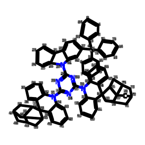 c1ccc([Si](c2ccccc2)(c2ccccc2)c2ccc3c4ccccc4n(-c4nc(N5c6ccccc6C6(c7ccccc75)C5CC7CC(C5)CC6C7)nc(N5c6ccccc6C6(c7ccccc75)C5CC7CC8CC6C8(C7)C5)n4)c3c2)cc1